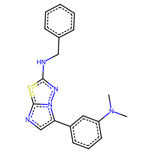 CN(C)c1cccc(-c2cnc3sc(NCc4ccccc4)nn23)c1